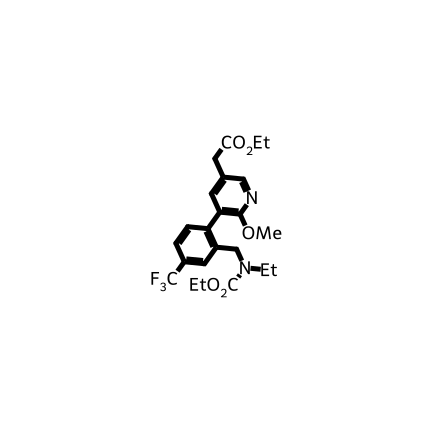 CCOC(=O)Cc1cnc(OC)c(-c2ccc(C(F)(F)F)cc2CN(CC)C(=O)OCC)c1